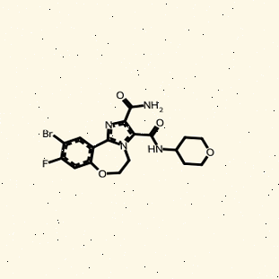 NC(=O)c1nc2n(c1C(=O)NC1CCOCC1)CCOc1cc(F)c(Br)cc1-2